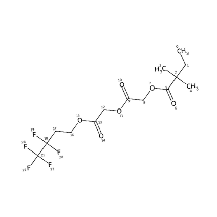 CCC(C)(C)C(=O)OCC(=O)OCC(=O)OCCC(F)(F)C(F)(F)F